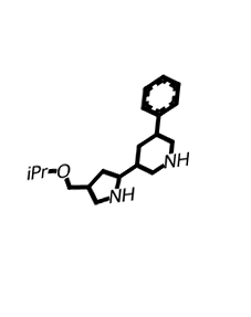 CC(C)OCC1CNC(C2CNCC(c3ccccc3)C2)C1